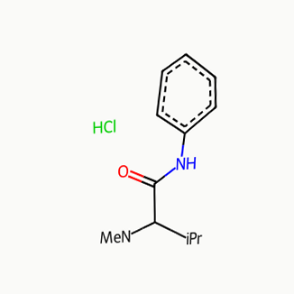 CNC(C(=O)Nc1ccccc1)C(C)C.Cl